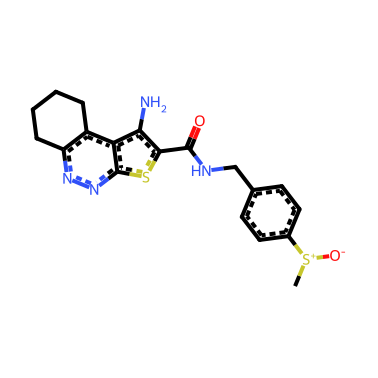 C[S+]([O-])c1ccc(CNC(=O)c2sc3nnc4c(c3c2N)CCCC4)cc1